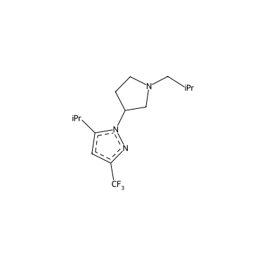 CC(C)CN1CCC(n2nc(C(F)(F)F)cc2C(C)C)C1